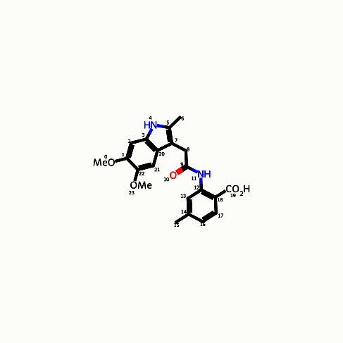 COc1cc2[nH]c(C)c(CC(=O)Nc3cc(C)ccc3C(=O)O)c2cc1OC